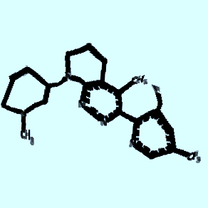 Cc1c(-c2ncc(C(F)(F)F)cc2F)nnc2c1CCCN2C1CCCN(C)C1